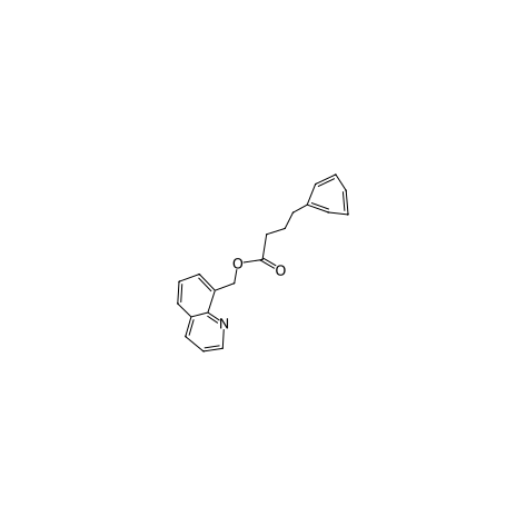 O=C(CCCc1ccccc1)OCc1cccc2cccnc12